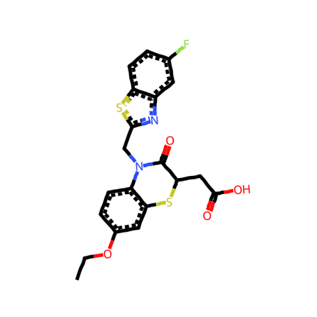 CCOc1ccc2c(c1)SC(CC(=O)O)C(=O)N2Cc1nc2cc(F)ccc2s1